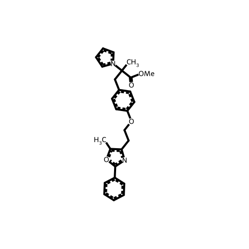 COC(=O)C(C)(Cc1ccc(OCCc2nc(-c3ccccc3)oc2C)cc1)n1cccc1